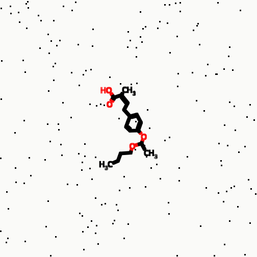 CCCCOC(C)Oc1ccc(CC=C(C)C(=O)O)cc1